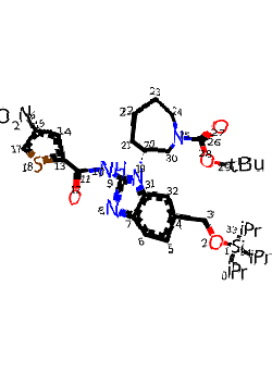 CC(C)[Si](OCc1ccc2nc(NC(=O)c3cc([N+](=O)[O-])cs3)n([C@@H]3CCCCN(C(=O)OC(C)(C)C)C3)c2c1)(C(C)C)C(C)C